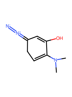 CN(C)C1=CCC(=[N+]=[N-])C=C1O